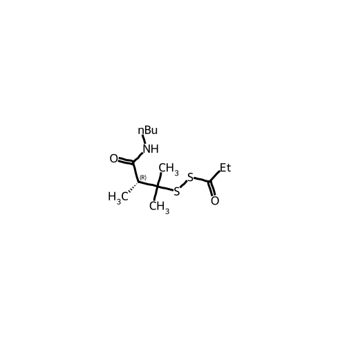 CCCCNC(=O)[C@@H](C)C(C)(C)SSC(=O)CC